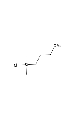 CC(=O)OCCC[Si](C)(C)Cl